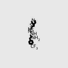 NC(CNc1nnc(-c2cc3ccncc3s2)s1)Cc1ccc(C(F)(F)F)cc1